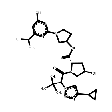 CC(C)c1cc(O)nc(N2CCC(NC(=O)[C@@H]3C[C@@H](O)CN3C(=O)[C@@H](n3cc(C4CC4)nn3)C(C)(C)C)C2)n1